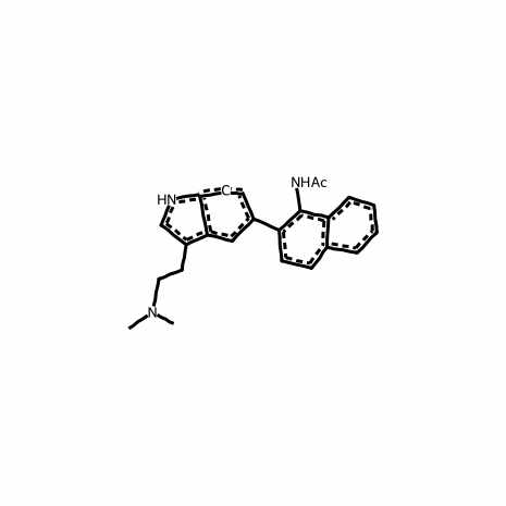 CC(=O)Nc1c(-c2ccc3[nH]cc(CCN(C)C)c3c2)ccc2ccccc12